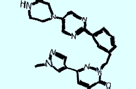 Cn1cc(-c2ccc(=O)n(Cc3cccc(-c4ncc(N5CCNCC5)cn4)c3)n2)cn1